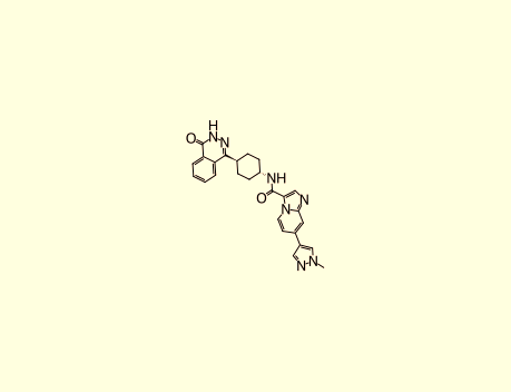 Cn1cc(-c2ccn3c(C(=O)N[C@H]4CC[C@H](c5n[nH]c(=O)c6ccccc65)CC4)cnc3c2)cn1